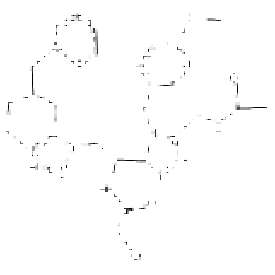 COc1ccc(Cn2c(CNC(C)=O)nnc2[C@@H](Cc2c[nH]c3c2CC(Cc2ccccc2)C=C3)NC(=O)CO)cc1